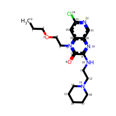 CCCOCCn1c(=O)c(NCCN2CCCCC2)nc2cnc(Cl)cc21